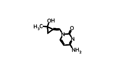 CC1(O)CC1=Cn1ccc(N)nc1=O